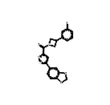 O=C(c1cc(-c2ccc3c(c2)OCO3)on1)N1CC(c2cccc(F)c2)C1